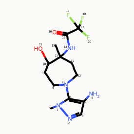 Cn1ncc(N)c1N1CCC(O)C(C)(NC(=O)C(F)(F)F)CC1